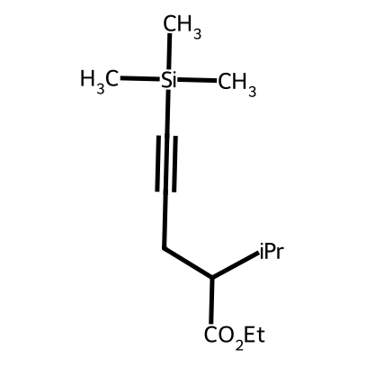 CCOC(=O)C(CC#C[Si](C)(C)C)C(C)C